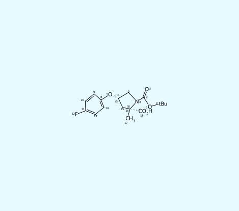 CC(C)(C)OC(=O)N1C[C@@H](Oc2ccc(F)cc2)C[C@@]1(C)C(=O)O